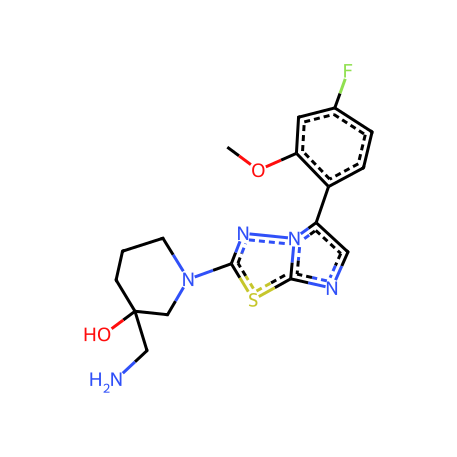 COc1cc(F)ccc1-c1cnc2sc(N3CCCC(O)(CN)C3)nn12